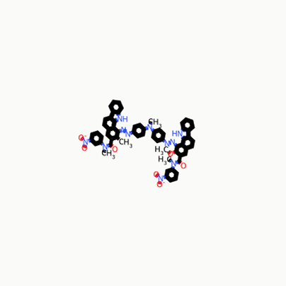 COc1c(C(=O)N(C)c2cccc([N+](=O)[O-])c2)cc2ccc3c4ccccc4[nH]c3c2c1N=Nc1ccc(N(C)c2ccc(N=Nc3c(C)c(C(=O)N(C)c4cccc([N+](=O)[O-])c4)cc4ccc5c6ccccc6[nH]c5c34)cc2)cc1